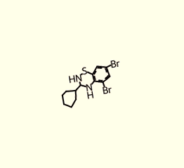 Brc1cc(Br)c2c(c1)SNC(C1CCCCC1)N2